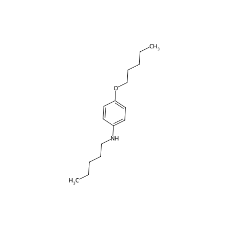 CCCCCNc1ccc(OCCCCC)cc1